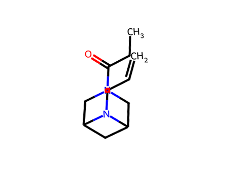 C=CCN1C2CC1CN(C(=O)CC)C2